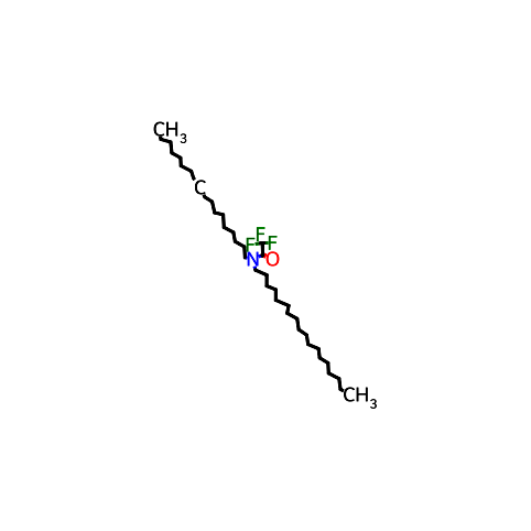 CCCCCCCCCCCCCCCCCCN(CCCCCCCCCCCCCCCCCC)C(=O)C(F)(F)F